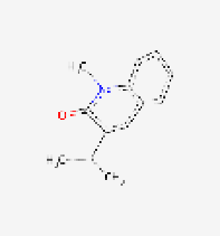 CC(C)c1cc2ccccc2n(C)c1=O